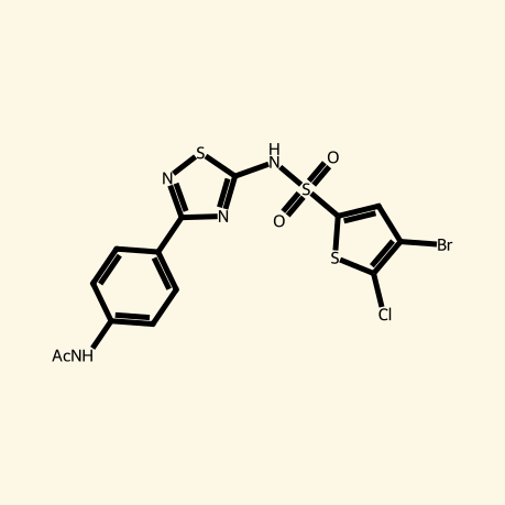 CC(=O)Nc1ccc(-c2nsc(NS(=O)(=O)c3cc(Br)c(Cl)s3)n2)cc1